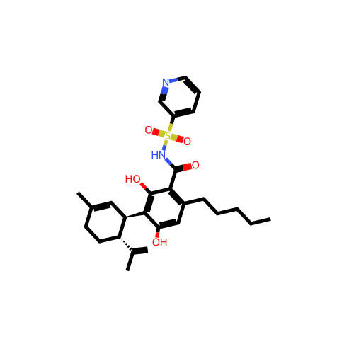 C=C(C)[C@@H]1CCC(C)=C[C@H]1c1c(O)cc(CCCCC)c(C(=O)NS(=O)(=O)c2cccnc2)c1O